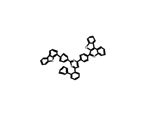 c1ccc(-c2ccccc2-c2cc(-c3ccc(-c4nc5ccccc5c5c4oc4ccccc45)cc3)nc(-c3ccc(-c4cccc5c4sc4ccccc45)cc3)n2)cc1